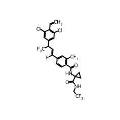 C=Cc1c(Cl)cc(C(C=C(F)c2ccc(C(=O)NC3(C(=O)NCC(F)(F)F)CC3)c(C(F)(F)F)c2)C(F)(F)F)cc1Cl